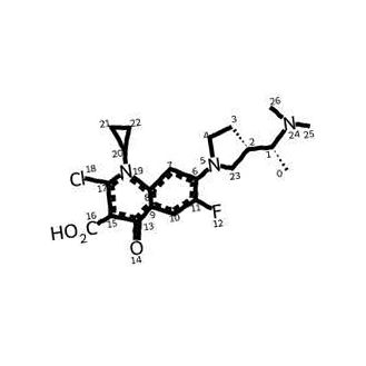 C[C@H]([C@H]1CCN(c2cc3c(cc2F)c(=O)c(C(=O)O)c(Cl)n3C2CC2)C1)N(C)C